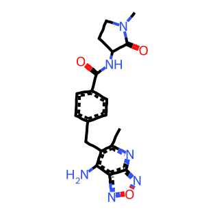 Cc1nc2nonc2c(N)c1Cc1ccc(C(=O)NC2CCN(C)C2=O)cc1